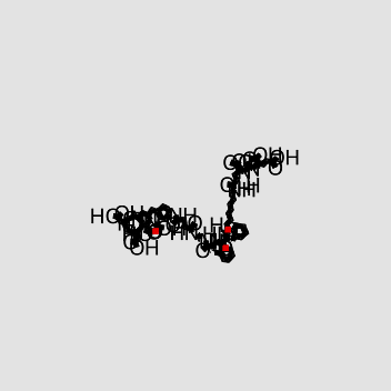 O=C(O)CCC(NC(=O)NC(CCC(=O)NCCCCCCCC(=O)N[C@@H](Cc1ccccc1)C(=O)N[C@@H](Cc1ccccc1)C(=O)NCCNC(=O)CCC(=O)Nc1ccc(CC(CN2CCN(CC(=O)O)CCN(CC(O)O)CC2)N(CC(=O)O)CC(=O)O)cc1)C(=O)O)C(=O)O